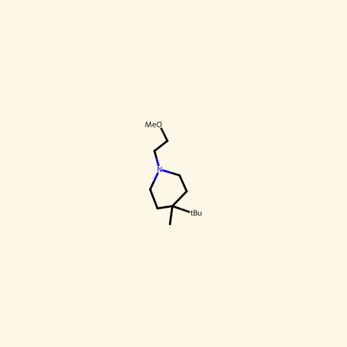 COCCN1CCC(C)(C(C)(C)C)CC1